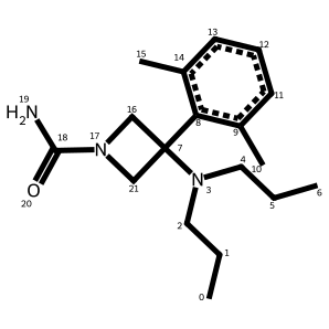 CCCN(CCC)C1(c2c(C)cccc2C)CN(C(N)=O)C1